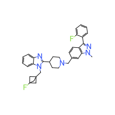 Cn1nc(-c2ccccc2F)c2ccc(CN3CCC(c4nc5ccccc5n4CC45CC(F)(C4)C5)CC3)cc21